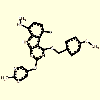 CNc1ccc(F)c2c1[nH]c1nc(Oc3cnc(C)nc3)nc(SCc3ccc(OC)cc3)c12